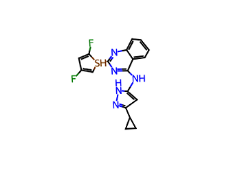 FC1=C[SH](c2nc(Nc3cc(C4CC4)n[nH]3)c3ccccc3n2)C(F)=C1